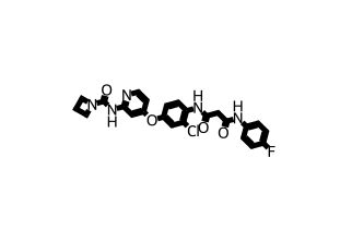 O=C(CC(=O)Nc1ccc(Oc2ccnc(NC(=O)N3CCC3)c2)cc1Cl)Nc1ccc(F)cc1